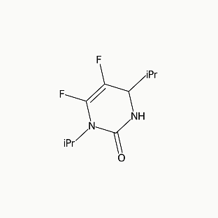 CC(C)C1NC(=O)N(C(C)C)C(F)=C1F